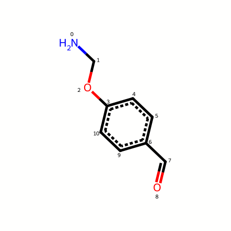 NCOc1ccc(C=O)cc1